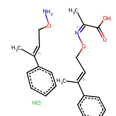 C/C(=C\CON)c1ccccc1.C/C(=N/OC/C=C(\C)c1ccccc1)C(=O)O.Cl